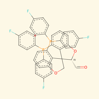 O=C[C@H]1Oc2cccc(P(c3ccc(F)cc3)c3ccc(F)cc3)c2C12COc1cccc(P(c3ccc(F)cc3)c3ccc(F)cc3)c12